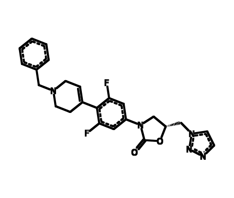 O=C1O[C@@H](Cn2ccnn2)CN1c1cc(F)c(C2=CCN(Cc3ccccc3)CC2)c(F)c1